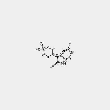 O=c1[nH]c2cnc(Cl)nc2n1C1CCS(=O)(=O)CC1